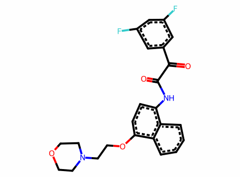 O=C(Nc1ccc(OCCN2CCOCC2)c2ccccc12)C(=O)c1cc(F)cc(F)c1